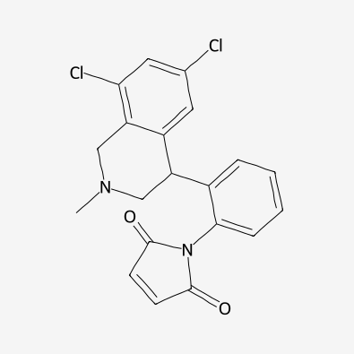 CN1Cc2c(Cl)cc(Cl)cc2C(c2ccccc2N2C(=O)C=CC2=O)C1